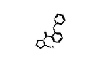 O=CC1CCCN1C(=O)c1ccccc1Sc1ccccn1